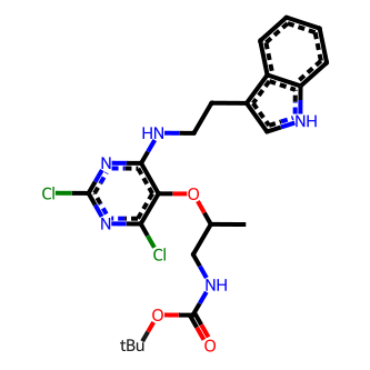 CC(CNC(=O)OC(C)(C)C)Oc1c(Cl)nc(Cl)nc1NCCc1c[nH]c2ccccc12